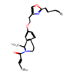 CCCCC=CC(=O)N1CCc2ccc(OCCc3coc(C=CCC(C)C)n3)cc2C1C(=O)O